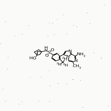 [2H]C([2H])([2H])c1ccc(S(=O)(=O)NC23CCC(O)(C2)C3)cc1-c1cnc2c(N)nc(C)cn12